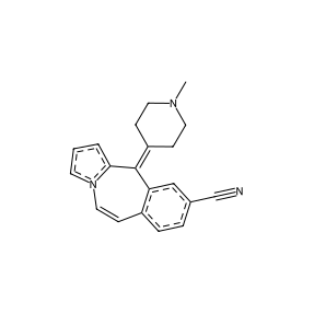 CN1CCC(=C2c3cc(C#N)ccc3C=Cn3cccc32)CC1